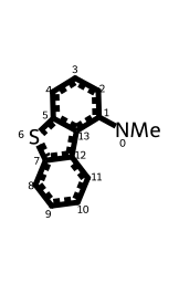 CNc1cccc2sc3ccccc3c12